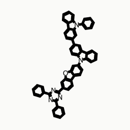 c1ccc(-c2nc(-c3ccccc3)nc(-c3ccc4c(c3)oc3cc(-n5c6ccccc6c6cc(-c7ccc8c9ccccc9n(-c9ccccc9)c8c7)ccc65)ccc34)n2)cc1